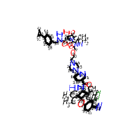 CC(C)(C)C(NC(=O)COCCN1CCN(c2ccc(C(=O)N[C@H]3C(C)(C)[C@H](Oc4ccc(C#N)c(Cl)c4)C3(C)C)cn2)CC1)C(=O)N1C[C@H](O)C[C@H]1C(=O)NCc1ccc(C2CC2)cc1